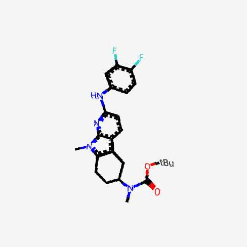 CN(C(=O)OC(C)(C)C)C1CCc2c(c3ccc(Nc4ccc(F)c(F)c4)nc3n2C)C1